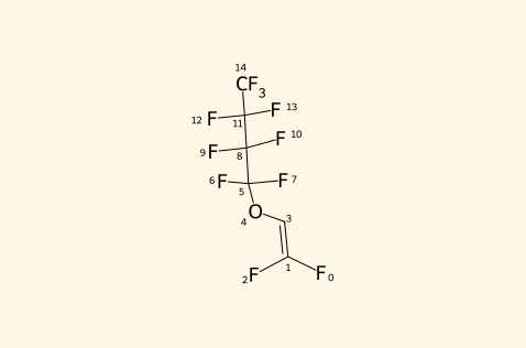 FC(F)=COC(F)(F)C(F)(F)C(F)(F)C(F)(F)F